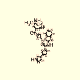 CC(C)(N)/C=C(\C#N)C(=O)N1CC(Cn2c(NC(=O)c3ccc(-c4cn[nH]c4)s3)nc3ccccc32)C1